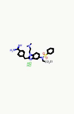 CCOC(=O)CN(c1ccc2c(c1)nc(Cc1ccc(C(=N)N)cc1)n2CCN(C)C)S(=O)(=O)c1ccccc1.Cl.Cl